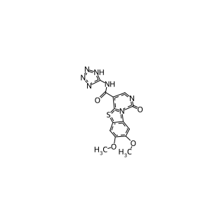 COc1cc2sc3c(C(=O)Nc4nnn[nH]4)cnc(=O)n3c2cc1OC